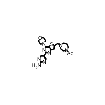 CC(=O)N1CCCN(Cc2cc3nc(-c4cnc(N)nc4)nc(N4CCOCC4)c3s2)CC1